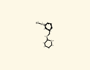 [Br][Mg][c]1cccc(COC2CCCCO2)c1